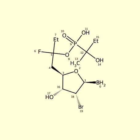 B[C@@H]1O[C@H](CC(F)(CC)OP(=O)(O)C(C)(O)CC)[C@@H](O)[C@H]1Br